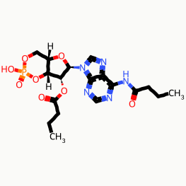 CCCC(=O)Nc1ncnc2c1ncn2[C@@H]1O[C@H]2COP(=O)(O)O[C@H]2[C@H]1OC(=O)CCC